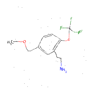 COCc1ccc(OC(F)(F)F)c(CN)c1